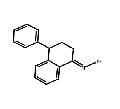 CC(C)N=C1CCC(c2ccccc2)c2ccccc21